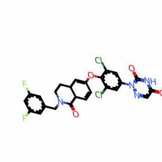 O=C1C2C=CC(Oc3c(Cl)cc(-n4ncc(=O)[nH]c4=O)cc3Cl)=CC2CCN1Cc1cc(F)cc(F)c1